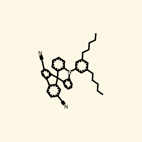 CCCCCc1cc(CCCCC)cc(N2c3ccccc3C3(c4cc(C#N)ccc4-c4ccc(C#N)cc43)c3ccccc32)c1